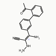 CC(=O)c1ccccc1-c1cccc(/C(N)=C(\C#N)NN)c1